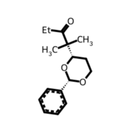 CCC(=O)C(C)(C)[C@@H]1CCO[C@H](c2ccccc2)O1